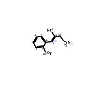 CCCc1ccccc1/C=C(\CC)COC(C)=O